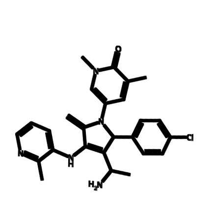 C=C1C(Nc2cccnc2C)=C(C(C)N)C(c2ccc(Cl)cc2)N1c1cc(C)c(=O)n(C)c1